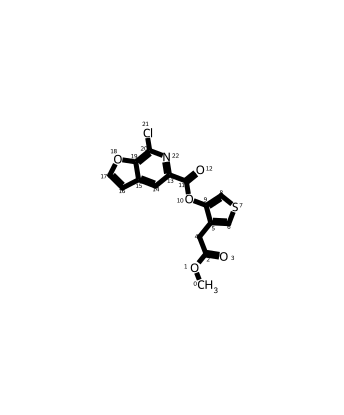 COC(=O)Cc1cscc1OC(=O)c1cc2ccoc2c(Cl)n1